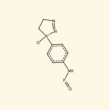 O=PNc1ccc([N+]2([O-])CCN=N2)cc1